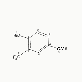 CCC(C)c1ccc(OC)cc1C(F)(F)F